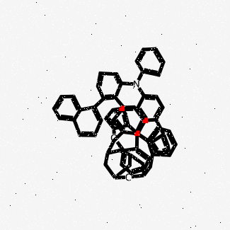 c1ccc(N(c2ccc3c(c2)C2(c4ccccc4Oc4ccccc42)c2ccccc2-3)c2cccc(-c3cccc4ccccc34)c2-c2ccc3c(c2)CC2CC4CC(Cc5ccccc5-3)CC(C2)C4)cc1